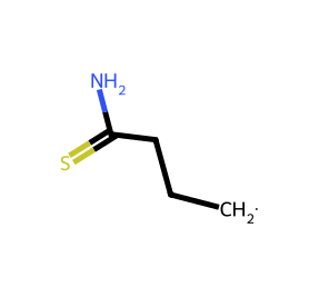 [CH2]CCC(N)=S